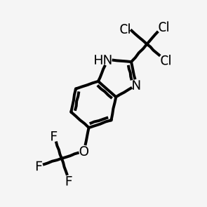 FC(F)(F)Oc1ccc2[nH]c(C(Cl)(Cl)Cl)nc2c1